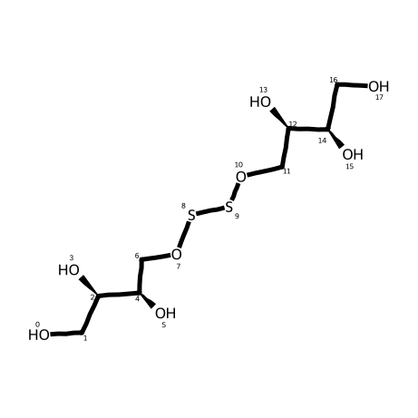 OC[C@@H](O)[C@H](O)COSSOC[C@@H](O)[C@H](O)CO